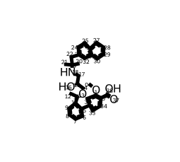 COc1cc(-c2ccccc2C(C)OC[C@@H](O)CNC(C)(C)Cc2ccc3ccccc3c2)ccc1C(=O)O